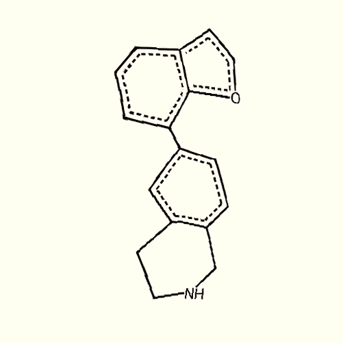 c1cc(-c2ccc3c(c2)CCNC3)c2occc2c1